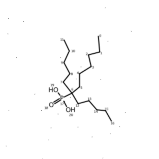 CCCCCCC(CCCCC)(CCCCC)P(=O)(O)O